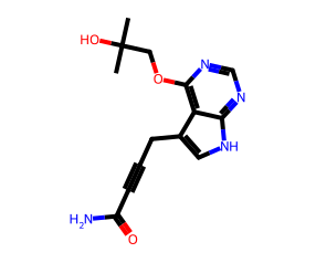 CC(C)(O)COc1ncnc2[nH]cc(CC#CC(N)=O)c12